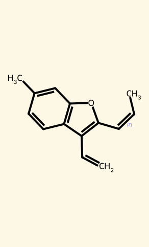 C=Cc1c(/C=C\C)oc2cc(C)ccc12